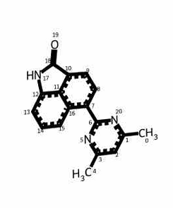 Cc1cc(C)nc(-c2ccc3c4c(cccc24)NC3=O)n1